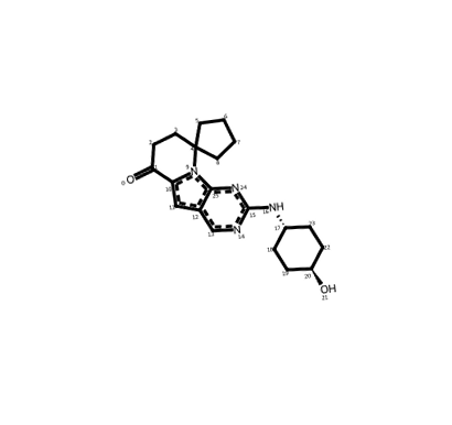 O=C1CCC2(CCCC2)n2c1cc1cnc(N[C@H]3CC[C@H](O)CC3)nc12